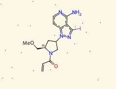 C=CC(=O)N1CC(n2nc(I)c3c(N)nccc32)C[C@@H]1COC